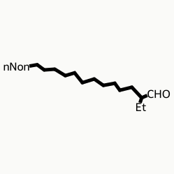 CCCCCCCCCCCCCCCCCCCCC(C=O)CC